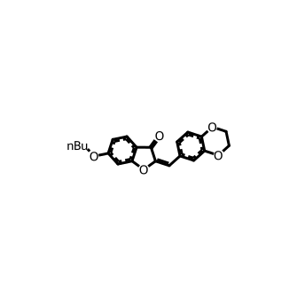 CCCCOc1ccc2c(c1)OC(=Cc1ccc3c(c1)OCCO3)C2=O